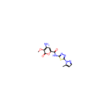 COc1c(N)cc(C(=O)Nc2nnc(-n3nccc3C)s2)oc1=O